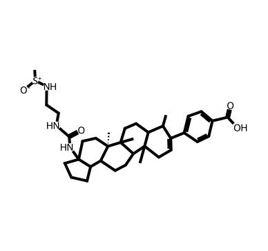 CC1C(c2ccc(C(=O)O)cc2)=CCC2(C)C1CCC1(C)C2CCC2C3CCCC3(NC(=O)NCCN[S+](C)[O-])CC[C@]21C